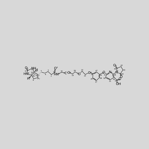 O=C(CCCC[C@@H]1SC[C@@H]2NC(=O)N[C@@H]21)NCCOCCOCCOc1cccc(Oc2ccc(C(=O)O)c(N3C(=O)CCC3=O)n2)c1